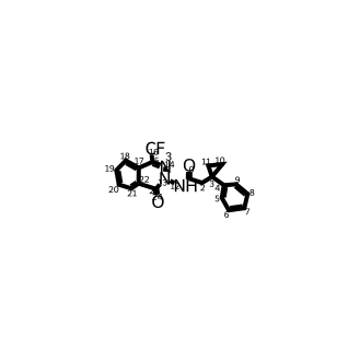 O=C(CC1(c2ccccc2)CC1)Nn1nc(C(F)(F)F)c2ccccc2c1=O